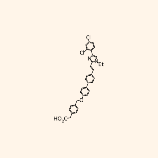 CCn1cc(-c2ccc(Cl)cc2Cl)nc1/C=C/c1ccc(-c2ccc(OCc3ccc(CC(=O)O)cc3)cc2)cc1